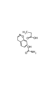 C1=NOc2ccccc2C1.CCC(=O)O.NC(=O)O